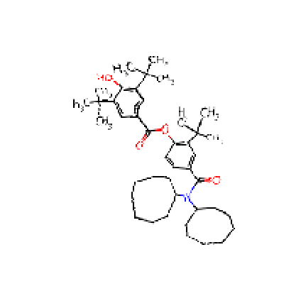 CC(C)(C)c1cc(C(=O)N(C2CCCCCCC2)C2CCCCCCC2)ccc1OC(=O)c1cc(C(C)(C)C)c(O)c(C(C)(C)C)c1